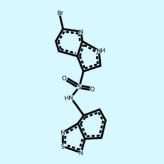 O=S(=O)(Nc1cccc2nsnc12)c1c[nH]c2nc(Br)ccc12